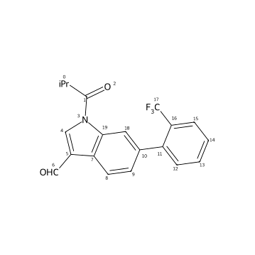 CC(C)C(=O)n1cc(C=O)c2ccc(-c3ccccc3C(F)(F)F)cc21